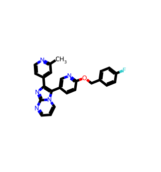 Cc1cc(-c2nc3ncccn3c2-c2ccc(OCc3ccc(F)cc3)nc2)ccn1